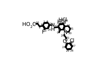 Cc1c(CNc2ccc(CCC(=O)O)c(F)c2)ccc2c1N(CCOc1ccccc1Cl)CCC2.Cl.Cl